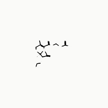 CC(=O)OCC[C@H]1C(=O)N2C(C(=O)OCOC(=O)C(C)(C)C)=C(C)CS[C@@H]12